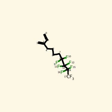 C=CC(=C)CCCCC(F)(F)C(F)(F)C(F)(F)C(F)(F)F